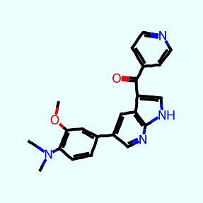 COc1cc(-c2cnc3[nH]cc(C(=O)c4ccncc4)c3c2)ccc1N(C)C